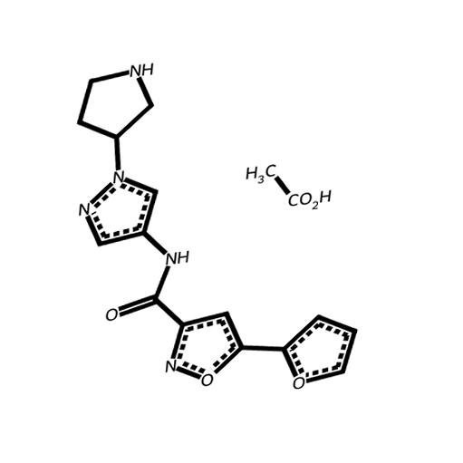 CC(=O)O.O=C(Nc1cnn(C2CCNC2)c1)c1cc(-c2ccco2)on1